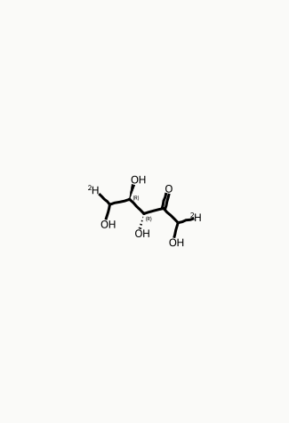 [2H]C(O)C(=O)[C@H](O)[C@H](O)C([2H])O